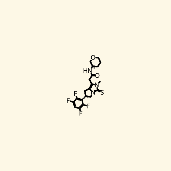 Cn1c(CC(=O)N[C@@H]2CCCOC2)c2n(c1=S)C[C@@H](c1c(F)c(F)cc(F)c1F)C2